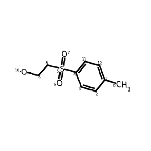 Cc1ccc(S(=O)(=O)CC[O])cc1